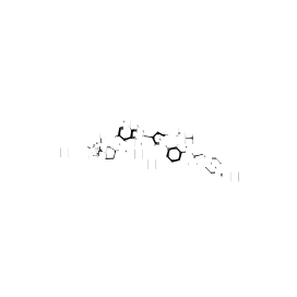 CCS(=O)(=O)N1CC[C@H](Nc2c(Br)cnc3nc(-c4cc(C)n(-c5cccc(NC(=O)CN6CCN(C)CC6)c5C)c4C)[nH]c23)C1